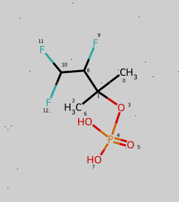 CC(C)(OP(=O)(O)O)C(F)C(F)F